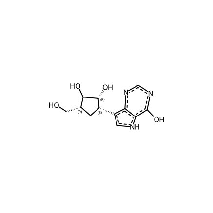 OC[C@H]1C[C@@H](c2c[nH]c3c(O)ncnc23)[C@@H](O)C1O